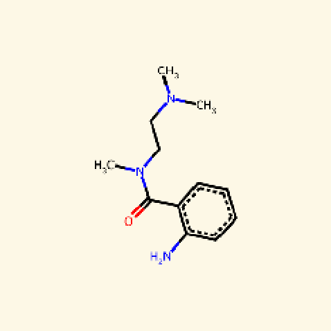 CN(C)CCN(C)C(=O)c1ccccc1N